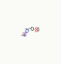 Cc1nnc(N2CCN(Cc3ccc(B4OC(C)(C)C(C)(C)O4)cc3)C(C)(C)C2)o1